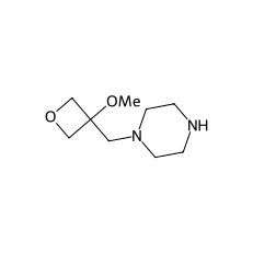 COC1(CN2CCNCC2)COC1